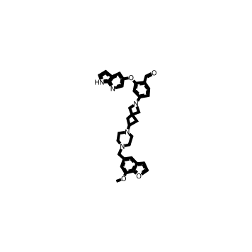 COc1cc(CN2CCN(C3CC4(C3)CN(c3ccc(C=O)c(Oc5cnc6[nH]ccc6c5)c3)C4)CC2)cc2ccoc12